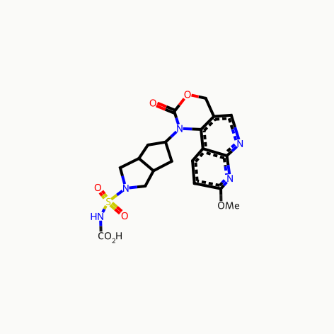 COc1ccc2c3c(cnc2n1)COC(=O)N3C1CC2CN(S(=O)(=O)NC(=O)O)CC2C1